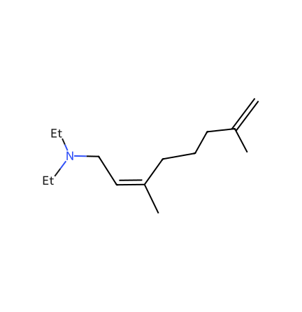 C=C(C)CCCC(C)=CCN(CC)CC